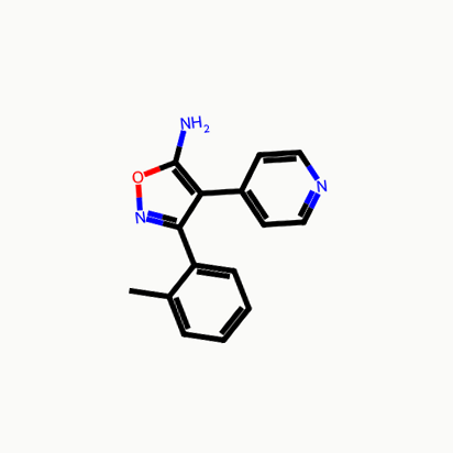 Cc1ccccc1-c1noc(N)c1-c1ccncc1